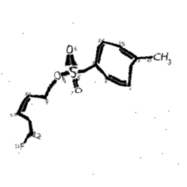 Cc1ccc(S(=O)(=O)OC/C=C\CF)cc1